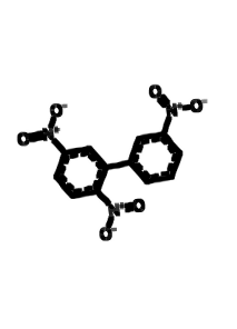 O=[N+]([O-])c1cccc(-c2cc([N+](=O)[O-])ccc2[N+](=O)[O-])c1